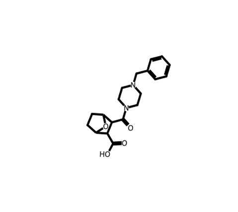 O=C(O)C1C2CCC(O2)C1C(=O)N1CCN(Cc2ccccc2)CC1